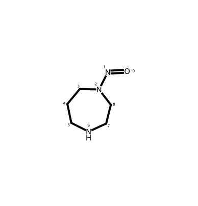 O=NN1CCCNCC1